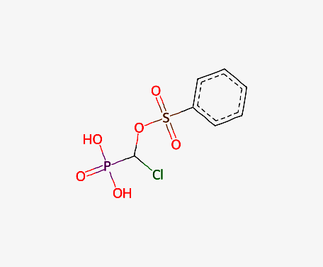 O=P(O)(O)C(Cl)OS(=O)(=O)c1ccccc1